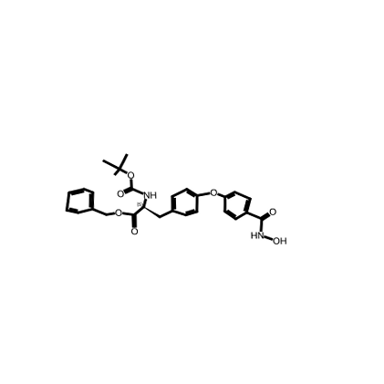 CC(C)(C)OC(=O)N[C@@H](Cc1ccc(Oc2ccc(C(=O)NO)cc2)cc1)C(=O)OCc1ccccc1